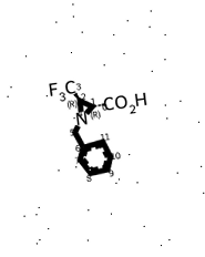 O=C(O)[C@H]1[C@H](C(F)(F)F)N1Cc1ccccc1